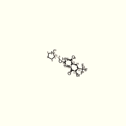 CN1CCC[C@H]1COc1nn2c(=O)c(Br)c(C(F)(F)F)cc2c(=O)[nH]1